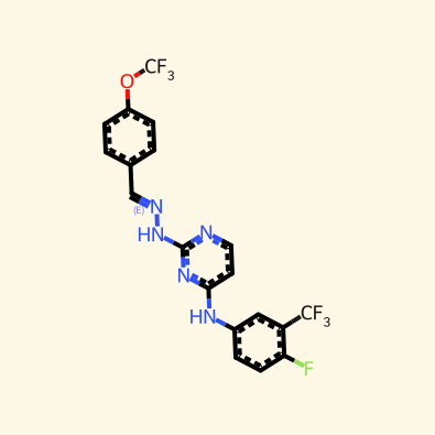 Fc1ccc(Nc2ccnc(N/N=C/c3ccc(OC(F)(F)F)cc3)n2)cc1C(F)(F)F